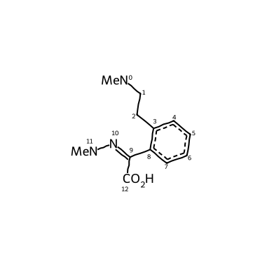 CNCCc1ccccc1C(=NNC)C(=O)O